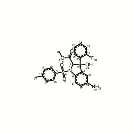 COC(=O)C1N(S(=O)(=O)c2ccc(C)cc2)c2ccc(N)cc2C1(O)c1ccccc1F